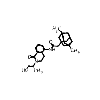 C[C@H](CO)N1CCc2c(NC(=O)CC34CC5CC(C)(CC(C)(C5)C3)C4)cccc2C1=O